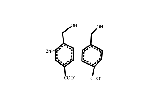 O=C([O-])c1ccc(CO)cc1.O=C([O-])c1ccc(CO)cc1.[Zn+2]